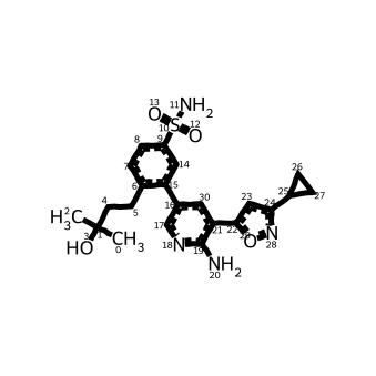 CC(C)(O)CCc1ccc(S(N)(=O)=O)cc1-c1cnc(N)c(-c2cc(C3CC3)no2)c1